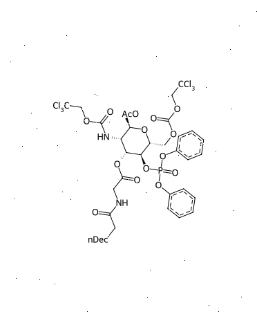 CCCCCCCCCCCC(=O)NCC(=O)O[C@@H]1[C@H](NC(=O)OCC(Cl)(Cl)Cl)[C@@H](OC(C)=O)O[C@H](COC(=O)OCC(Cl)(Cl)Cl)[C@H]1OP(=O)(Oc1ccccc1)Oc1ccccc1